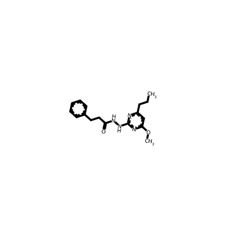 CCCc1cc(OC)nc(NNC(=O)CCc2ccccc2)n1